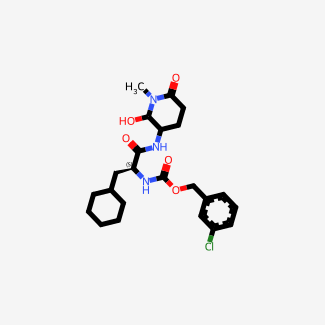 CN1C(=O)CCC(NC(=O)[C@H](CC2CCCCC2)NC(=O)OCc2cccc(Cl)c2)C1O